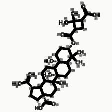 C=C(C)[C@@H]1CC[C@]2(C(=O)O)CC[C@]3(C)C(CCC4[C@@]5(C)CC[C@H](OC(=O)C6CC(C(=O)O)C6(C)C)C(C)(C)C5CC[C@]43C)C12